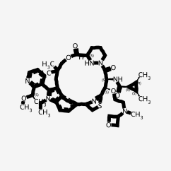 CCn1c(-c2cccnc2[C@H](C)OC)c2c3cc(ccc31)C1CSC(=N1)[C@@H](OCCN(C)C1COC1)[C@H](NC(=O)[C@H]1[C@H](C)[C@@H]1C)C(=O)N1CCC[C@H](N1)C(=O)OCC(C)(C)C2